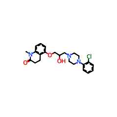 CN1C(=O)CCc2c(OCC(O)CN3CCN(c4ccccc4Cl)CC3)cccc21